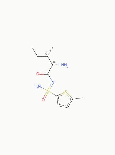 CC[C@H](C)[C@H](N)C(=O)N=S(N)(=O)c1ccc(C)s1